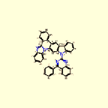 c1ccc(-c2nc(-n3c4ccccc4c4cc5c6ccccc6c6nc7ccccc7n6c5cc43)nc3ccccc23)cc1